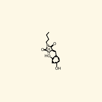 CCCCN1C(=O)NC(=Cc2ccc(O)cc2O)C1=O